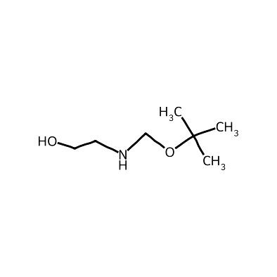 CC(C)(C)OCNCCO